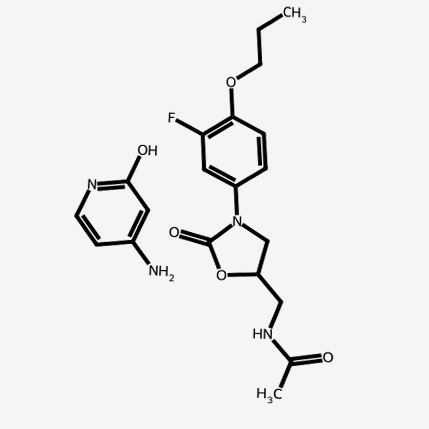 CCCOc1ccc(N2CC(CNC(C)=O)OC2=O)cc1F.Nc1ccnc(O)c1